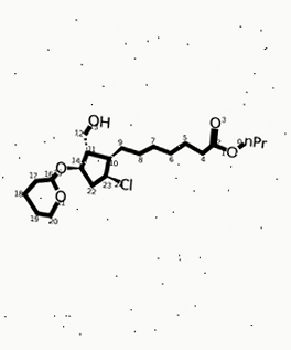 CCCOC(=O)CCCCCC[C@@H]1[C@@H](CO)[C@H](OC2CCCCO2)C[C@@H]1Cl